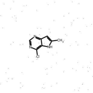 Cc1cc2ncnc(Cl)c2[nH]1